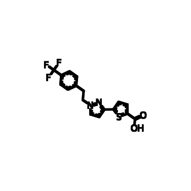 O=C(O)c1ccc(-c2ccn(CCc3ccc(C(F)(F)F)cc3)n2)s1